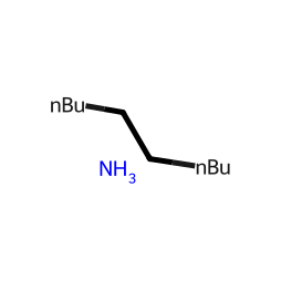 N.[CH2]CCCCCCCCC